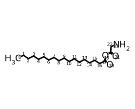 CCCCCCCCCCCCCCCCCC(=O)OC(=O)CN